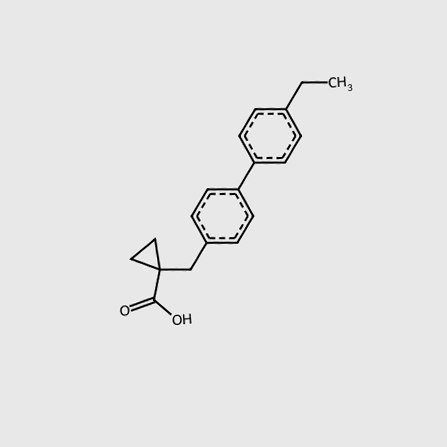 CCc1ccc(-c2ccc(CC3(C(=O)O)CC3)cc2)cc1